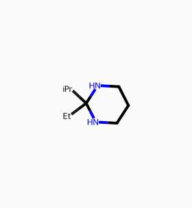 CCC1(C(C)C)NCCCN1